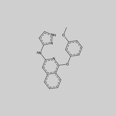 COc1cccc(Oc2nc(Nc3cc[nH]n3)cc3ccccc23)c1